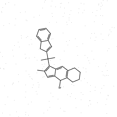 CC1=C(C(C)(C)C2=Cc3ccccc3C2)C2=CC3=C(CCCC3)C(Br)C2=C1